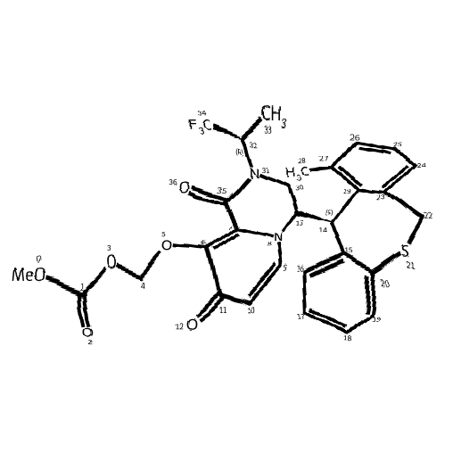 COC(=O)OCOc1c2n(ccc1=O)C([C@@H]1c3ccccc3SCc3cccc(C)c31)CN([C@H](C)C(F)(F)F)C2=O